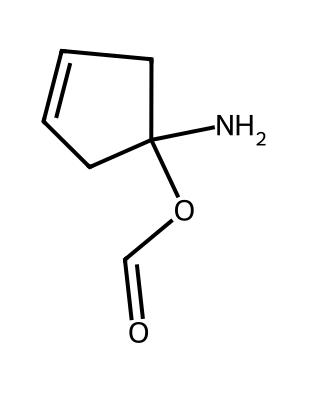 NC1(OC=O)CC=CC1